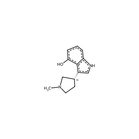 CN1CC[C@@H](c2c[nH]c3cccc(O)c23)C1